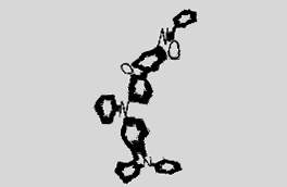 c1ccc(-c2nc3cc4oc5cc(N(c6ccccc6)c6ccc7c(c6)c6ccccc6n7-c6ccccc6)ccc5c4cc3o2)cc1